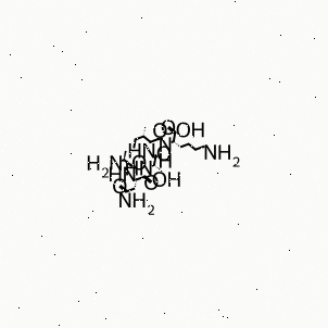 CC[C@H](C)[C@H](NC(=O)[C@H](CO)NC(=O)[C@H](CC(N)=O)NC(=O)[C@H](C)N)C(=O)N[C@@H](CCCCN)C(=O)O